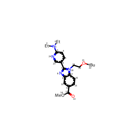 CCN(CC)c1ccc(-c2nc3cc(C(=O)OC)ccc3n2CCOC(C)(C)C)cn1